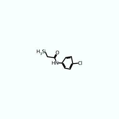 O=C(C[SiH3])Nc1ccc(Cl)cc1